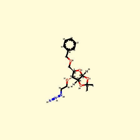 CC1(C)O[C@H]2O[C@H](COCc3ccccc3)[C@@H](OCCN=[N+]=[N-])[C@H]2O1